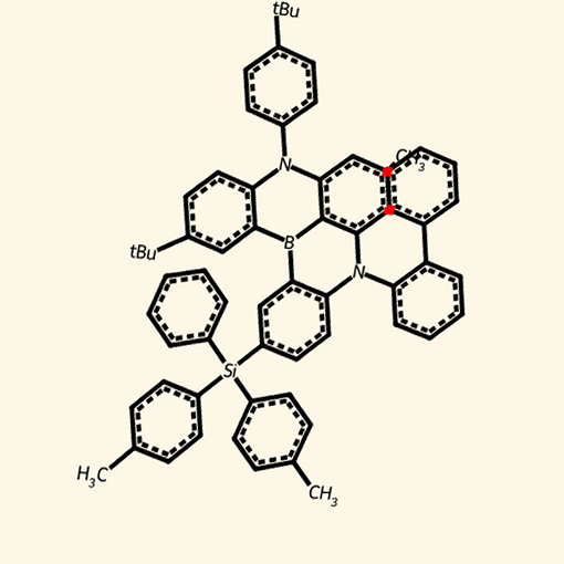 Cc1ccc([Si](c2ccccc2)(c2ccc(C)cc2)c2ccc3c(c2)B2c4cc(C(C)(C)C)ccc4N(c4ccc(C(C)(C)C)cc4)c4cc(C)cc(c42)N3c2ccccc2-c2ccccc2)cc1